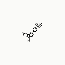 CC(C)Cc1c[nH]c2ccc(C3=CCN(C(=O)OC(C)(C)C)CC3)cc12